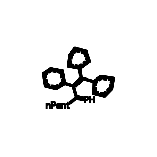 CCCCCC(=P)C(=C(c1ccccc1)c1ccccc1)c1ccccc1